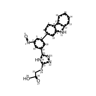 O=Nc1cc(-c2ccc3c(c2)[nH]c2ccccc23)cc(-c2nnc(SCC(=O)O)[nH]2)c1